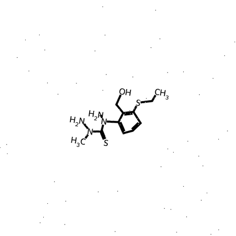 CCSc1cccc(N(N)C(=S)N(C)N)c1CO